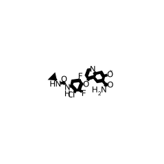 COc1cc2nccc(Oc3c(F)cc(NC(=O)NC4CC4)c(Cl)c3F)c2cc1C(N)=O